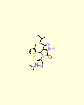 Cc1ccsc1C1c2c(CC(C)C)n[nH]c2C(=O)N1c1cnn(C(C)C)c1